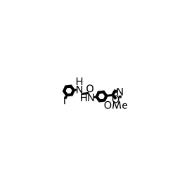 COc1cc(NC(=O)CNc2cccc(I)c2)ccc1-c1cnco1